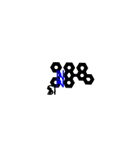 C[Si](C)(C)c1ccc(N(c2ccccc2)c2c3ccccc3c(-c3cc4ccccc4c4ccccc34)c3ccccc23)nc1